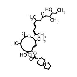 CC[C@H](O)[C@@H](C)[C@H]1O[C@@H]1C[C@H](C)/C=C/C=C(\C)[C@H]1OC(=O)C[C@H](O)CC[C@@](C)(O)[C@@H](OC(=O)N2CC[N+]3(CCCC3)CC2)/C=C/[C@@H]1C